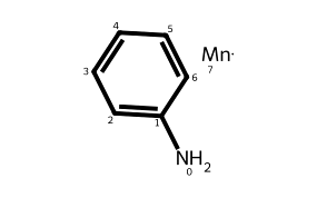 Nc1ccccc1.[Mn]